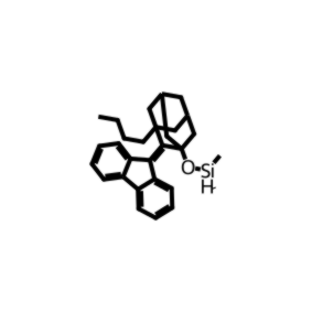 CCCCC12CC3CC(C1)CC(O[SiH](C)C)(C3)C2=C1c2ccccc2-c2ccccc21